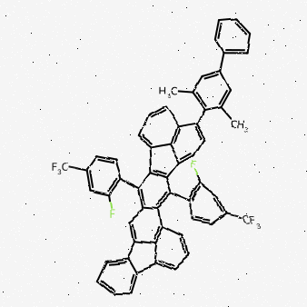 Cc1cc(-c2ccccc2)cc(C)c1-c1ccc2c3c(-c4ccc(C(F)(F)F)cc4F)c4c(cc5c6ccccc6c6cccc4c65)c(-c4ccc(C(F)(F)F)cc4F)c3c3cccc1c32